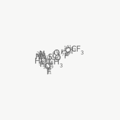 C[C@@H](S[C@H]1CO[C@H](/C=C/c2ccc(C(F)(F)F)cc2F)OC1)[C@](O)(Cn1cncn1)c1ccc(F)cc1F